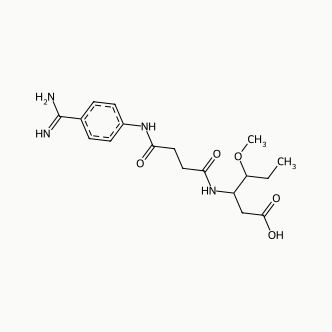 CCC(OC)C(CC(=O)O)NC(=O)CCC(=O)Nc1ccc(C(=N)N)cc1